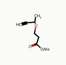 C#CC(C)OCCC(=O)OC